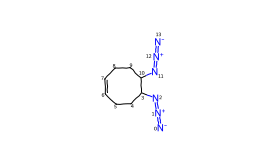 [N-]=[N+]=NC1CC/C=C\CCC1N=[N+]=[N-]